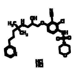 CC(C)(CCCc1cccnc1)NCC(O)COc1ccc(NS(=O)(=O)N2CCOCC2)c(Cl)c1C#N.Cl.Cl